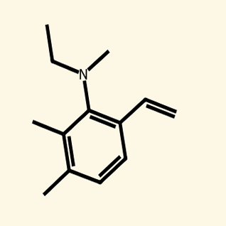 C=Cc1ccc(C)c(C)c1N(C)CC